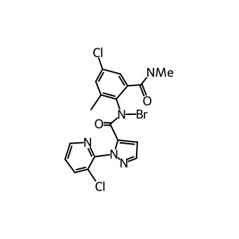 CNC(=O)c1cc(Cl)cc(C)c1N(Br)C(=O)c1ccnn1-c1ncccc1Cl